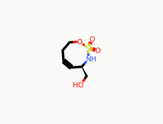 O=S1(=O)N[C@@H](CO)C#CCCO1